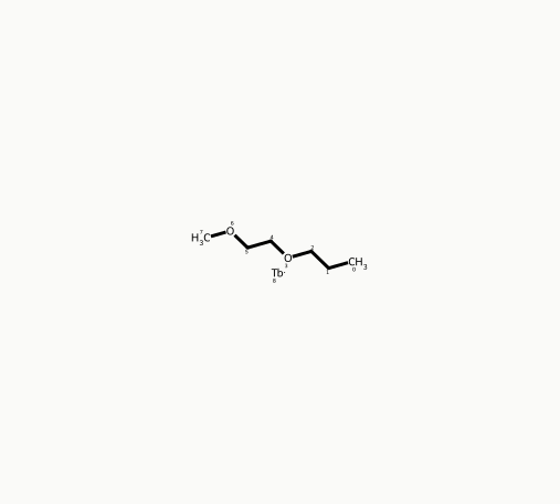 CCCOCCOC.[Tb]